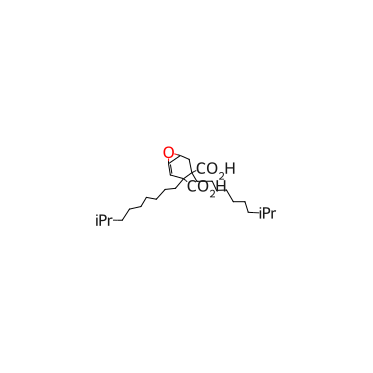 CC(C)CCCCCCCC1(C(=O)O)C=C2OC2CC1(CCCCCCCC(C)C)C(=O)O